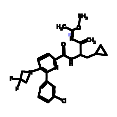 C=C(/N=C(/C)ON)C(CC1CC1)NC(=O)c1ccc(N2CC(F)(F)C2)c(-c2cccc(Cl)c2)n1